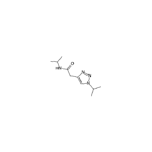 CC(C)NC(=O)Cc1cn(C(C)C)nn1